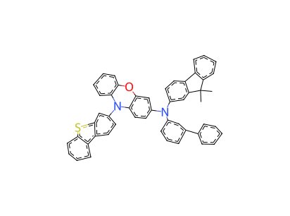 CC1(C)c2ccccc2-c2ccc(N(c3cccc(-c4ccccc4)c3)c3ccc4c(c3)Oc3ccccc3N4c3ccc4c(c3)sc3ccccc34)cc21